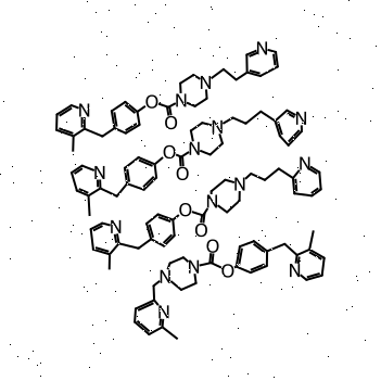 Cc1cccc(CN2CCN(C(=O)Oc3ccc(Cc4ncccc4C)cc3)CC2)n1.Cc1cccnc1Cc1ccc(OC(=O)N2CCN(CCCc3ccccn3)CC2)cc1.Cc1cccnc1Cc1ccc(OC(=O)N2CCN(CCCc3cccnc3)CC2)cc1.Cc1cccnc1Cc1ccc(OC(=O)N2CCN(CCc3cccnc3)CC2)cc1